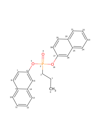 CCCP(=O)(Oc1ccc2ccccc2c1)Oc1ccc2ccccc2c1